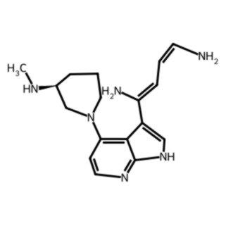 CN[C@H]1CCCN(c2ccnc3[nH]cc(/C(N)=C/C=C\N)c23)C1